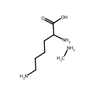 CN.NCCCCC(N)C(=O)O